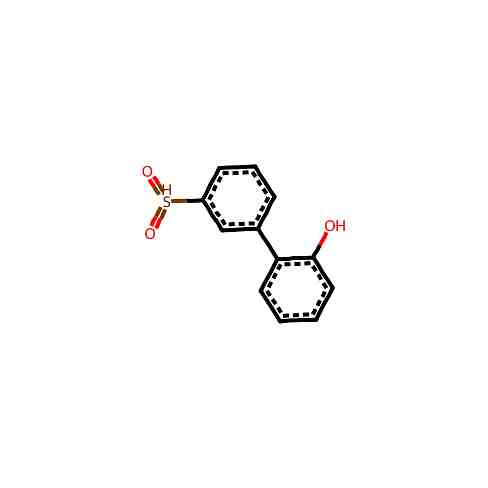 O=[SH](=O)c1cccc(-c2ccccc2O)c1